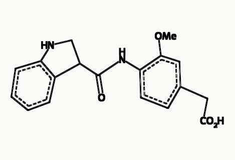 COc1cc(CC(=O)O)ccc1NC(=O)C1CNc2ccccc21